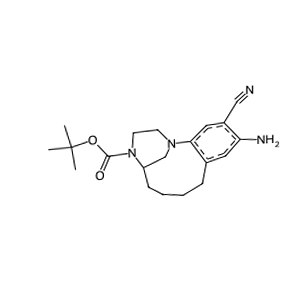 CC(C)(C)OC(=O)N1CCN2CC1CCCCc1cc(N)c(C#N)cc12